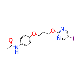 CC(=O)Nc1ccc(OCCCOc2ncc(I)cn2)cc1